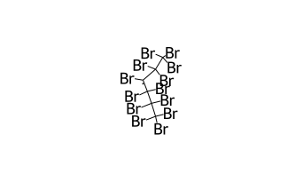 Br[C](C(Br)(Br)C(Br)(Br)Br)C(Br)(Br)C(Br)(Br)C(Br)(Br)Br